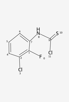 Fc1c(Cl)cccc1NC(=S)Cl